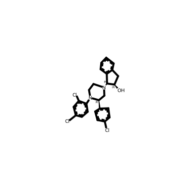 O[C@@H]1Cc2ccccc2[C@H]1N1CCN(c2ccc(Cl)cc2Cl)[C@H](c2ccc(Cl)cc2)C1